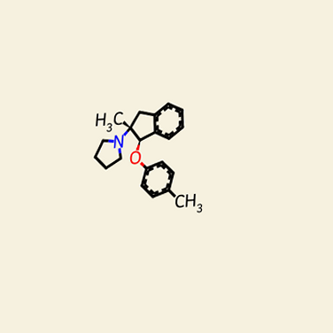 Cc1ccc(O[C@@H]2c3ccccc3C[C@@]2(C)N2CCCC2)cc1